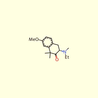 CCN(C)[C@@H]1Cc2ccc(OC)cc2C(C)(C)C1=O